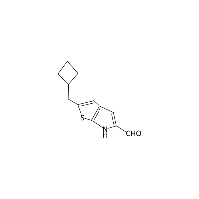 O=Cc1cc2cc(CC3CCC3)sc2[nH]1